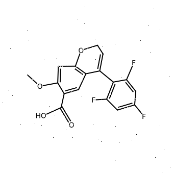 COc1cc2c(cc1C(=O)O)C(c1c(F)cc(F)cc1F)=CCO2